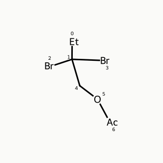 CCC(Br)(Br)COC(C)=O